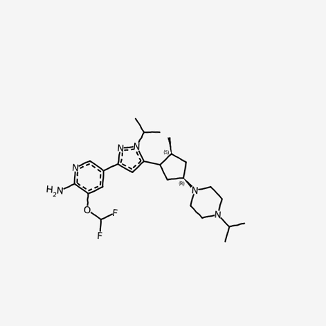 CC(C)N1CCN([C@H]2CC(c3cc(-c4cnc(N)c(OC(F)F)c4)nn3C(C)C)[C@@H](C)C2)CC1